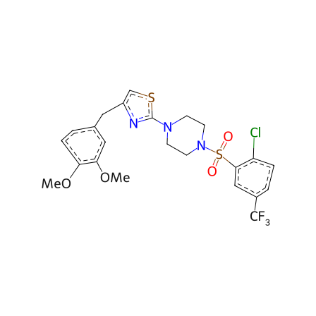 COc1ccc(Cc2csc(N3CCN(S(=O)(=O)c4cc(C(F)(F)F)ccc4Cl)CC3)n2)cc1OC